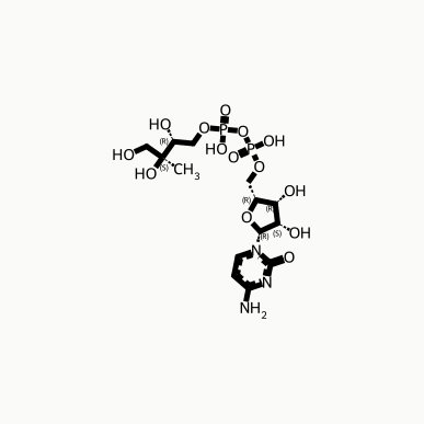 C[C@](O)(CO)[C@H](O)COP(=O)(O)OP(=O)(O)OC[C@H]1O[C@@H](n2ccc(N)nc2=O)[C@@H](O)[C@H]1O